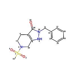 CS(=O)(=O)N1CCc2c([nH]n(Cc3ccccc3)c2=O)C1